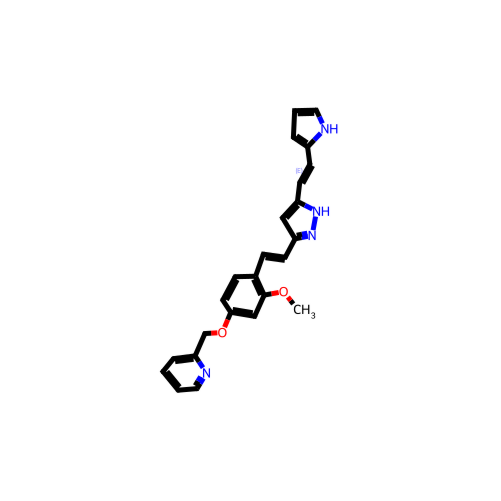 COc1cc(OCc2ccccn2)ccc1C=Cc1cc(/C=C/c2ccc[nH]2)[nH]n1